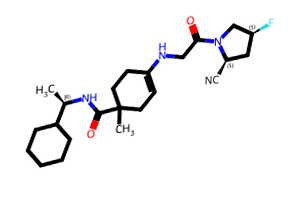 C[C@@H](NC(=O)C1(C)CC=C(NCC(=O)N2C[C@@H](F)C[C@H]2C#N)CC1)C1CCCCC1